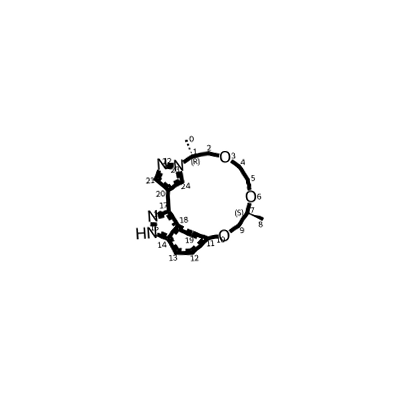 C[C@@H]1COCCO[C@@H](C)COc2ccc3[nH]nc(c3c2)-c2cnn1c2